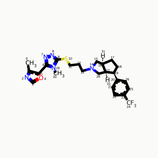 Cc1ncoc1-c1nnc(SCCCN2C[C@H]3CC[C@@H](c4ccc(C(F)(F)F)cc4)[C@H]3C2)n1C